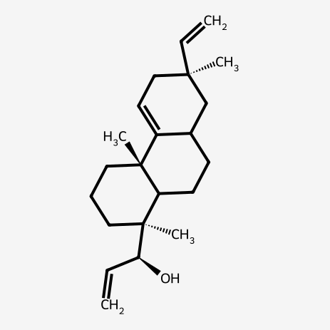 C=C[C@H](O)[C@@]1(C)CCC[C@]2(C)C3=CC[C@@](C)(C=C)CC3CCC12